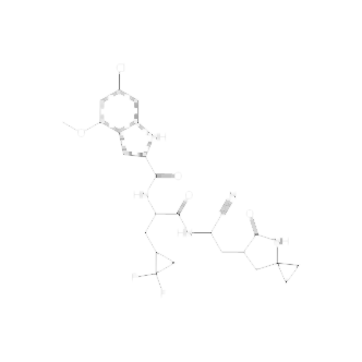 COc1cc(Cl)cc2[nH]c(C(=O)NC(CC3CC3(F)F)C(=O)NC(C#N)CC3CC4(CC4)NC3=O)cc12